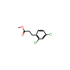 COC(=O)CCc1c[c]c(Cl)cc1Cl